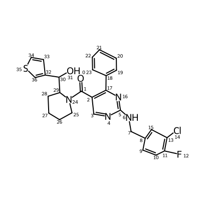 O=C(c1cnc(NCc2ccc(F)c(Cl)c2)nc1-c1ccccc1)N1CCCCC1C(O)c1ccsc1